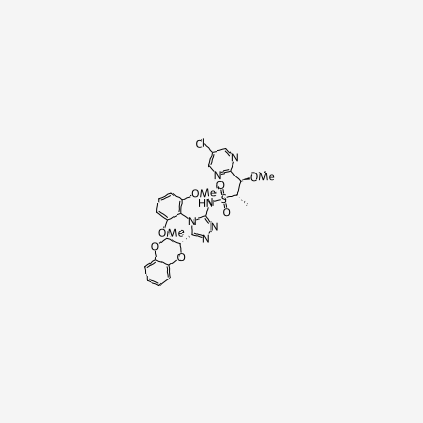 COc1cccc(OC)c1-n1c(NS(=O)(=O)[C@@H](C)[C@H](OC)c2ncc(Cl)cn2)nnc1[C@H]1COc2ccccc2O1